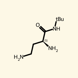 CC(C)(C)NC(=O)[C@@H](N)CCN